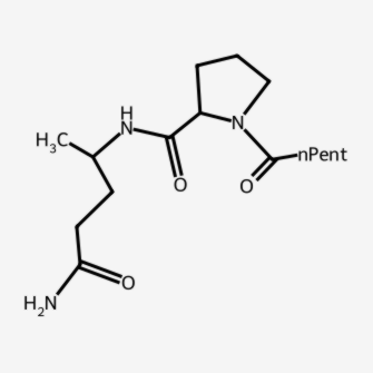 CCCCCC(=O)N1CCCC1C(=O)NC(C)CCC(N)=O